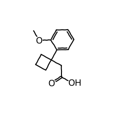 COc1ccccc1C1(CC(=O)O)CCC1